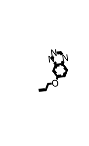 C=CCOc1ccc2ncnnc2c1